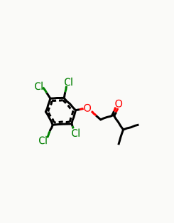 CC(C)C(=O)COc1c(Cl)c(Cl)cc(Cl)c1Cl